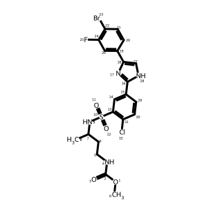 COC(=O)NCCC(C)NS(=O)(=O)c1cc(-c2nc(-c3ccc(Br)c(F)c3)c[nH]2)ccc1Cl